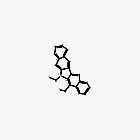 CCc1c2ccccc2cc2c3cc4ccccc4cc3n(CC)c12